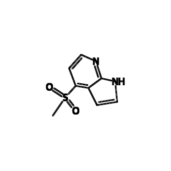 CS(=O)(=O)c1ccnc2[nH]ccc12